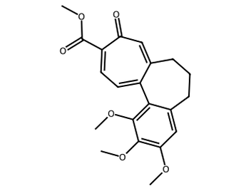 COC(=O)c1ccc2c(cc1=O)CCCc1cc(OC)c(OC)c(OC)c1-2